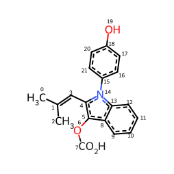 CC(C)=Cc1c(OC(=O)O)c2ccccc2n1-c1ccc(O)cc1